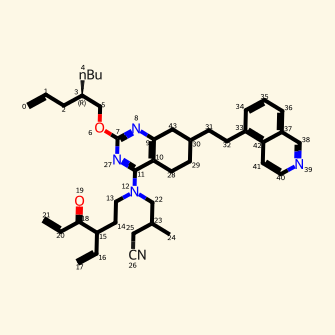 C=CC[C@@H](CCCC)COc1nc2c(c(N(CCC(C=C)C(=O)C=C)CC(C)CC#N)n1)CCC(CCc1cccc3cnccc13)C2